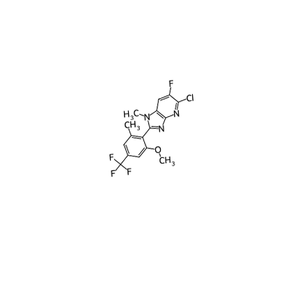 COc1cc(C(F)(F)F)cc(C)c1-c1nc2nc(Cl)c(F)cc2n1C